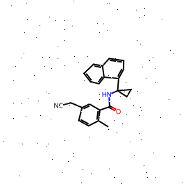 Cc1ccc(CC#N)cc1C(=O)NC1(c2cccc3ccccc23)CC1